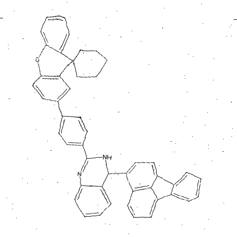 c1ccc2c(c1)N=C(c1ccc(-c3ccc4c(c3)C3(CCCCC3)c3ccccc3O4)cc1)NC2c1ccc2c3c(cccc13)-c1ccccc1-2